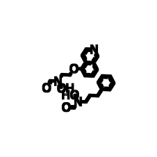 O=CN(O)CCCc1ccccc1.O=CN(O)CCOc1cccc2cnccc12